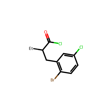 CCC(Cc1cc(Cl)ccc1Br)C(=O)Cl